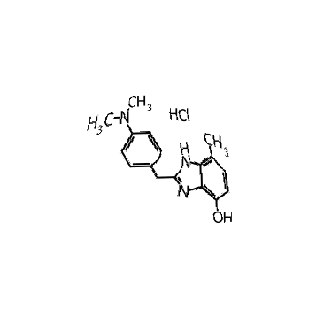 Cc1ccc(O)c2nc(Cc3ccc(N(C)C)cc3)[nH]c12.Cl